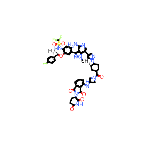 C[C@H](Oc1cc(-c2nn(C)c3c(-c4cnn(C5CCC(C(=O)N6CC(Nc7cccc8c7C(=O)N(C7CCC(=O)NC7=O)C8=O)C6)CC5)c4)cnc(N)c23)ccc1NS(=O)(=O)C(F)F)c1ccc(F)cc1